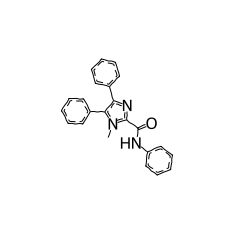 Cn1c(C(=O)Nc2ccccc2)nc(-c2ccccc2)c1-c1ccccc1